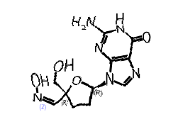 Nc1nc2c(ncn2[C@H]2CC[C@@](/C=N\O)(CO)O2)c(=O)[nH]1